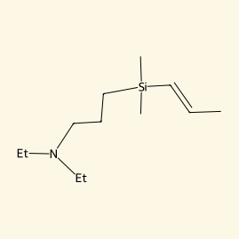 CC=C[Si](C)(C)CCCN(CC)CC